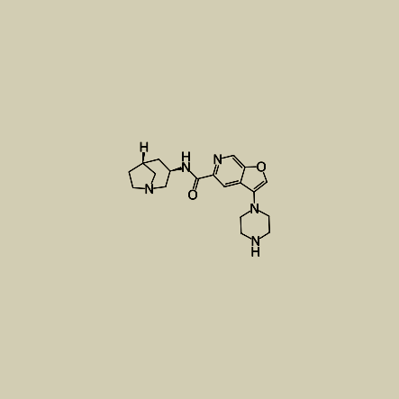 O=C(N[C@@H]1C[C@H]2CCN(C2)C1)c1cc2c(N3CCNCC3)coc2cn1